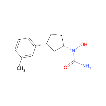 Cc1cccc([C@@H]2CC[C@H](N(O)C(N)=O)C2)c1